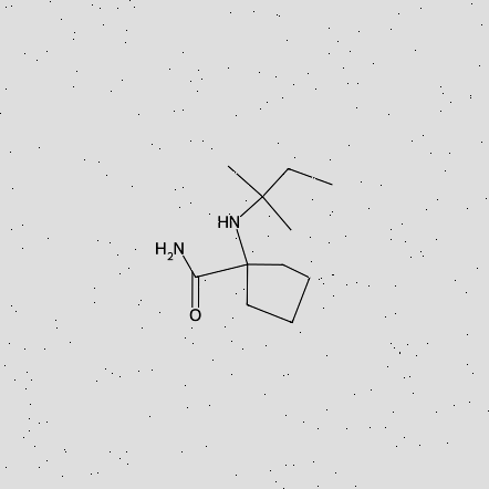 CCC(C)(C)NC1(C(N)=O)CCCC1